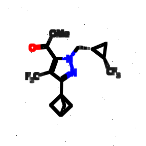 COC(=O)c1c(C(F)(F)F)c(C23CC(C2)C3)nn1C[C@@H]1C[C@H]1C(F)(F)F